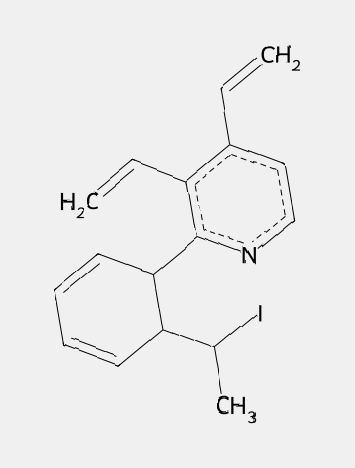 C=Cc1ccnc(C2C=CC=CC2C(C)I)c1C=C